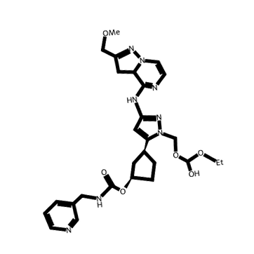 CCOC(O)OCn1nc(NC2=NC=CN3N=C(COC)CC23)cc1[C@H]1CC[C@@H](OC(=O)NCc2cccnc2)C1